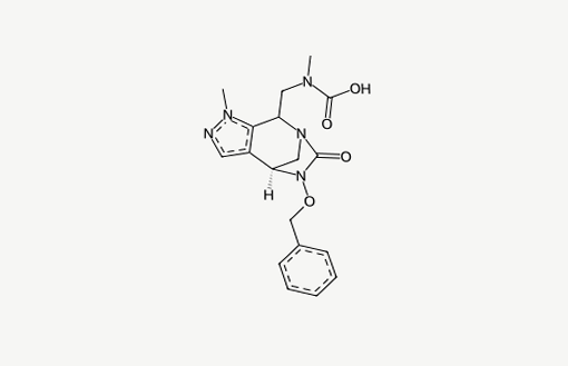 CN(CC1c2c(cnn2C)[C@H]2CN1C(=O)N2OCc1ccccc1)C(=O)O